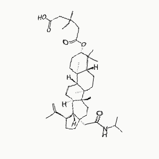 C=C(C)[C@@H]1CC[C@]2(CC(=O)NC(C)C)CC[C@]3(C)[C@H](CC[C@@H]4[C@@]5(C)CC[C@H](OC(=O)CC(C)(C)CC(=O)O)C(C)(C)[C@@H]5CC[C@]43C)[C@@H]12